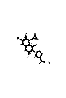 Cc1c(N2CCC([C@H](C)N)C2)c(F)cc2cc(O)c(=O)n(C3CC3)c12